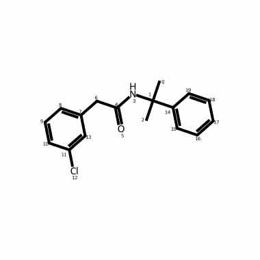 CC(C)(NC(=O)Cc1cccc(Cl)c1)c1ccccc1